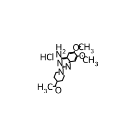 COc1cc2nc(N3CCC(C(C)=O)CC3)nc(N)c2cc1OC.Cl